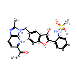 CCCc1nc2ccc(C(=O)NC)nc2n1Cc1ccc2oc(-c3ccccc3NS(=O)(=O)C(F)(F)F)c(Br)c2c1